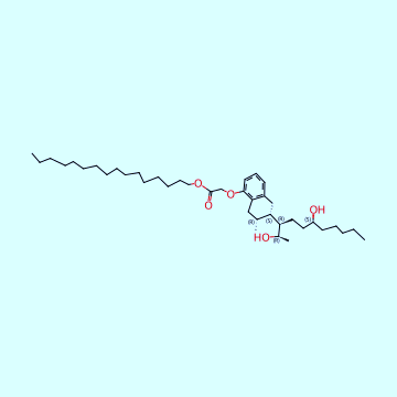 CCCCCCCCCCCCCCCCOC(=O)COc1cccc2c1C[C@@H](C)[C@@H]([C@@H](CC[C@@H](O)CCCCC)[C@@H](C)O)C2